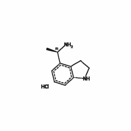 C[C@@H](N)c1cccc2c1CCN2.Cl